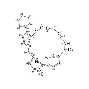 O=C1NCCCCOCc2cc(ccc2N2CCCCC2)Nc2ncc(Cl)c(n2)-c2ccc1cc2